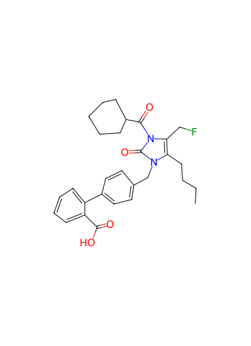 CCCCc1c(CF)n(C(=O)C2CCCCC2)c(=O)n1Cc1ccc(-c2ccccc2C(=O)O)cc1